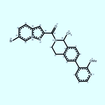 COc1ncccc1-c1ccc2c(c1)CCN(C(=O)c1cc3ccc(Br)cn3n1)C2C